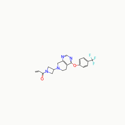 C=CC(=O)N1CC(N2CCc3c(ncnc3Oc3ccc(C(F)(F)F)cc3)C2)C1